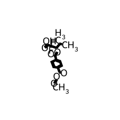 COCOC(=O)c1ccc(C(=O)OC(C(C)C)C(F)(F)C(=O)O)cc1